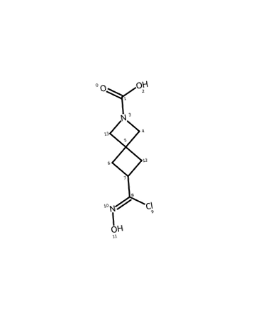 O=C(O)N1CC2(CC(C(Cl)=NO)C2)C1